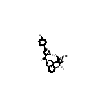 Cc1nn(C)c(C)c1C1CN(C(=O)c2cc(-c3ccc(F)cc3F)on2)Cc2cccc(F)c21